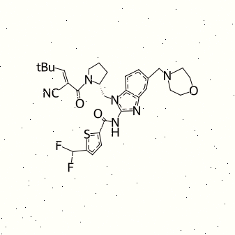 CC(C)(C)/C=C(\C#N)C(=O)N1CCC[C@@H]1Cn1c(NC(=O)c2ccc(C(F)F)s2)nc2cc(CN3CCOCC3)ccc21